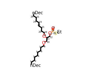 CCCCCCCCCCCCCCCCCCOCC(CO[P](=O)SCC)OCCCCCCCCCCCCCCCCCC